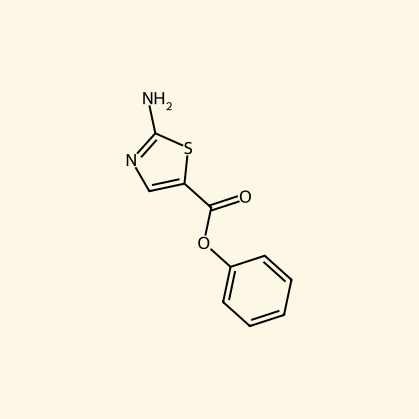 Nc1ncc(C(=O)Oc2ccccc2)s1